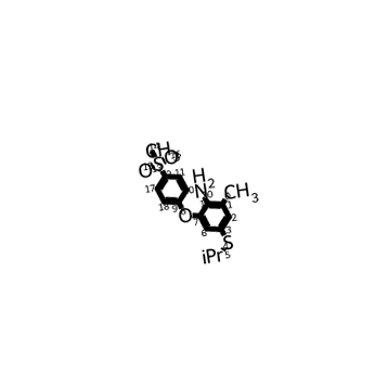 Cc1cc(SC(C)C)cc(Oc2ccc(S(C)(=O)=O)cc2)c1N